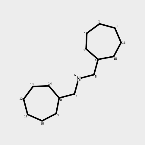 C1CCCC(C[N]CC2CCCCCC2)CC1